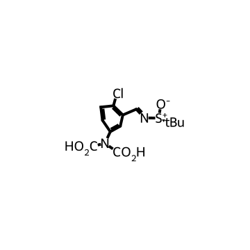 CC(C)(C)[S@+]([O-])/N=C/c1cc(N(C(=O)O)C(=O)O)ccc1Cl